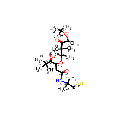 CC(OC(C)(C)C)C(=O)C(C)(C)C(C)(C)OC(CC(=O)NC(C)(C)CS)C(=O)C(C)(C)C